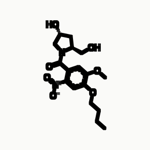 CCCCOc1cc([N+](=O)[O-])c(C(=O)N2C[C@H](O)C[C@H]2CO)cc1OC